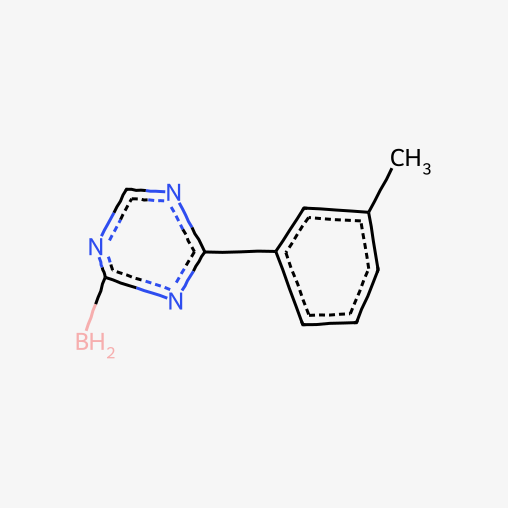 Bc1ncnc(-c2cccc(C)c2)n1